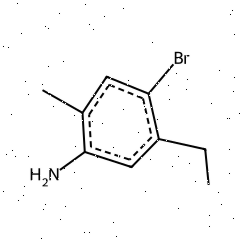 CCc1cc(N)c(C)cc1Br